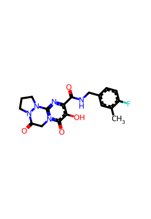 Cc1cc(CNC(=O)c2nc3n(c(=O)c2O)CC(=O)N2CCCN32)ccc1F